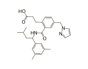 Cc1cc(C)cc(C(CC(C)C)NC(=O)c2cc(Cn3cccn3)ccc2CCC(=O)O)c1